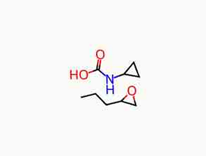 CCCC1CO1.O=C(O)NC1CC1